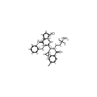 Cc1ccc(C(=O)N(CCC(C)(C)N)C(c2nn3c(Cl)ccc3c(=O)n2Cc2ccccc2)C2CC2)cc1